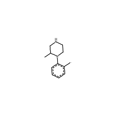 [CH2]c1ccccc1N1CCNCC1C